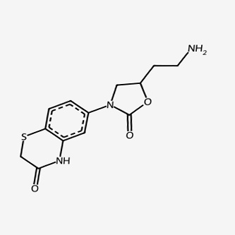 NCCC1CN(c2ccc3c(c2)NC(=O)CS3)C(=O)O1